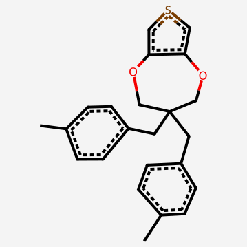 Cc1ccc(CC2(Cc3ccc(C)cc3)COc3cscc3OC2)cc1